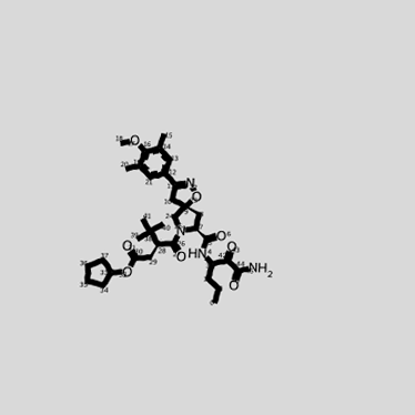 CCCC(NC(=O)[C@@H]1C[C@]2(CC(c3cc(C)c(OC)c(C)c3)=NO2)CN1C(=O)[C@@H](CC(=O)OC1CCCC1)C(C)(C)C)C(=O)C(N)=O